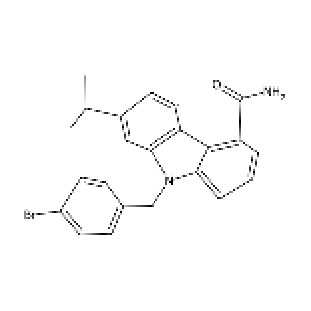 CC(C)c1c[c]c2c3c(C(N)=O)cccc3n(Cc3ccc(Br)cc3)c2c1